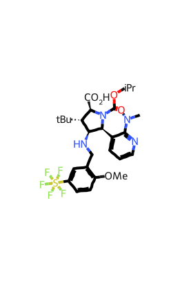 COc1ccc(S(F)(F)(F)(F)F)cc1CN[C@H]1[C@H](C(C)(C)C)[C@@H](C(=O)O)N(C(=O)OC(C)C)[C@H]1c1cccnc1N(C)C